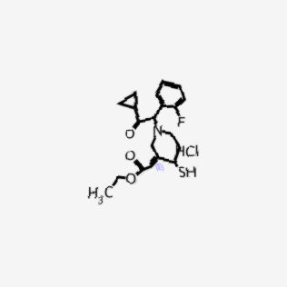 CCOC(=O)/C=C1\CN(C(C(=O)C2CC2)c2ccccc2F)CCC1S.Cl